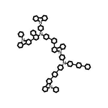 c1ccc(-c2ccc(-c3ccc(N(c4ccc(-c5ccc(-c6ccc7c8ccccc8n(-c8ccccc8)c7c6)cc5)cc4)c4ccc(-n5c6ccccc6c6c(-c7cccc(-c8ccc(N(c9ccc(-n%10c%11ccccc%11c%11ccccc%11%10)cc9)c9ccc(-c%10ccc%11c%12ccccc%12n(-c%12ccccc%12)c%11c%10)c%10ccccc9%10)cc8)c7)cccc65)cc4)cc3)cc2)cc1